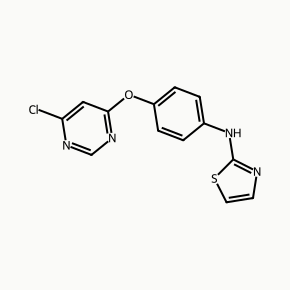 Clc1cc(Oc2ccc(Nc3nccs3)cc2)ncn1